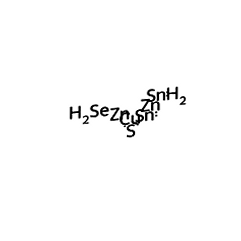 [Cu].[S]=[Sn].[SeH2].[SnH2].[Zn].[Zn]